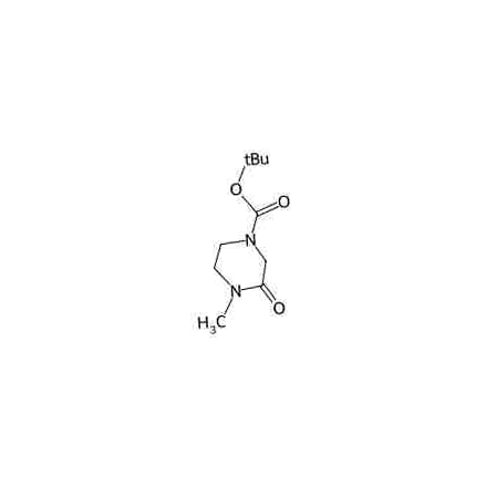 CN1CCN(C(=O)OC(C)(C)C)CC1=O